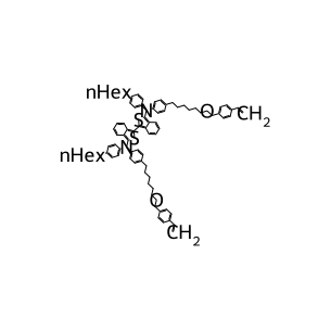 C=Cc1ccc(COCCCCCCc2ccc(N(c3ccc(CCCCCC)cc3)c3sc(-c4sc(N(c5ccc(CCCCCC)cc5)c5ccc(CCCCCCOCc6ccc(C=C)cc6)cc5)c5ccccc45)c4ccccc34)cc2)cc1